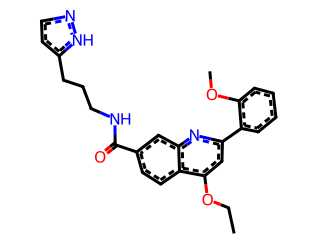 CCOc1cc(-c2ccccc2OC)nc2cc(C(=O)NCCCc3ccn[nH]3)ccc12